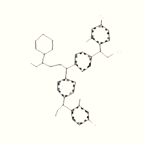 CCC(c1ccc(C(CCC(CC)C2CCCCC2)c2ccc(C(CC)c3ccc(N)cc3C)cc2)cc1)c1ccc(N)cc1C